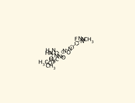 CCN(C(=O)[C@@H]1CCN(CC(=O)N2CC=C(c3ccc(-c4ncn(C)n4)c(F)c3)CC2)C1)c1ccc(N)c(C(=N)c2ccc(OC(C)C)c(F)c2)n1